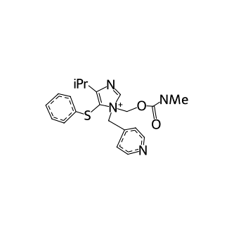 CNC(=O)OC[N+]1(Cc2ccncc2)C=NC(C(C)C)=C1Sc1ccccc1